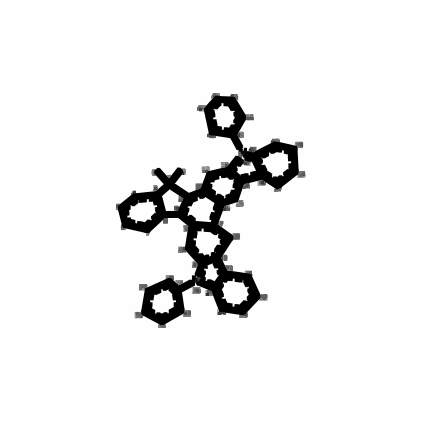 CC1(C)c2ccccc2-c2c1c1cc3c(cc1c1cc4c5ccccc5n(-c5ccccc5)c4cc21)c1ccccc1n3-c1ccccc1